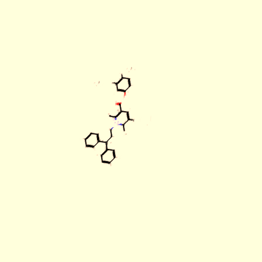 COc1ccc(OC(=O)C2=C(C)N(CCC(c3ccccc3)c3ccccc3)C(C)C(C(=O)O)=C2)cc1OC